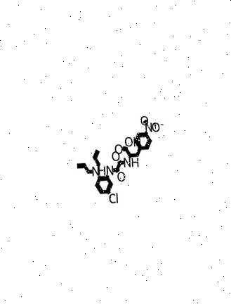 C=CCN(CC=C)c1ccc(Cl)cc1NC(=O)C(=O)NC(Cc1ccc([N+](=O)[O-])cc1)C(=O)O